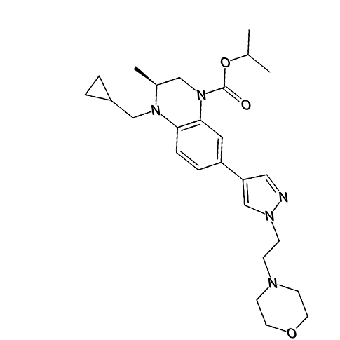 CC(C)OC(=O)N1C[C@H](C)N(CC2CC2)c2ccc(-c3cnn(CCN4CCOCC4)c3)cc21